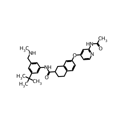 CNCc1cc(NC(=O)C2CCc3ccc(Oc4ccnc(NC(C)=O)c4)cc3C2)cc(C(C)(C)C)c1